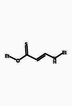 CCNC=CC(=S)OCC